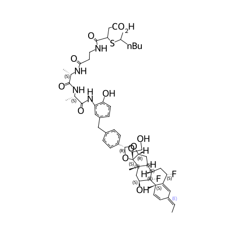 C/C=C1\C=C[C@@]2(C)C(=C1)[C@@H](F)C[C@H]1[C@@H]3C[C@H]4O[C@@H](c5ccc(Cc6ccc(O)c(NC(=O)[C@H](C)NC(=O)[C@H](C)NC(=O)CCNC(=O)C(CC(=O)O)SC(C)CCCC)c6)cc5)O[C@@]4(C(=O)CO)[C@@]3(C)C[C@H](O)[C@@]12F